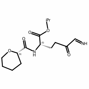 CC(C)OC(=O)[C@H](CCC(=O)C=N)NC(=O)[C@@H]1CCCCO1